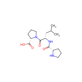 CC(C)C[C@H](NC(=O)[C@@H]1CCCN1)C(=O)N1CCC[C@H]1C(=O)O